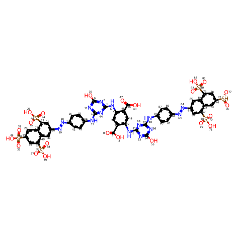 O=C(O)c1cc(Nc2nc(O)nc(Nc3ccc(/N=N/c4cc(S(=O)(=O)O)c5cc(S(=O)(=O)O)cc(S(=O)(=O)O)c5c4)cc3)n2)c(C(=O)O)cc1Nc1nc(O)nc(Nc2ccc(/N=N/c3cc(S(=O)(=O)O)c4cc([SH](=O)=O)cc(S(=O)(=O)O)c4c3)cc2)n1